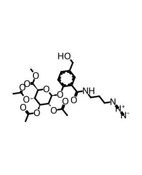 COC(=O)[C@H]1O[C@@H](Oc2ccc(CO)cc2C(=O)NCCCN=[N+]=[N-])[C@H](OC(C)=O)[C@@H](OC(C)=O)[C@@H]1OC(C)=O